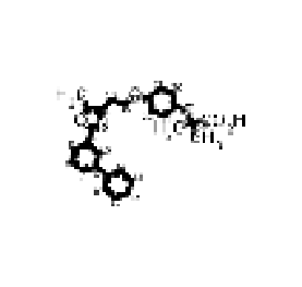 Cc1oc(-c2cccc(-c3ccccc3)c2)nc1CCOc1ccc(OC(C)(C)C(=O)O)cc1